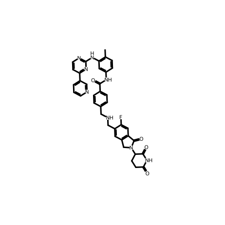 Cc1ccc(NC(=O)c2ccc(CNCc3cc4c(cc3F)C(=O)N(C3CCC(=O)NC3=O)C4)cc2)cc1Nc1nccc(-c2cccnc2)n1